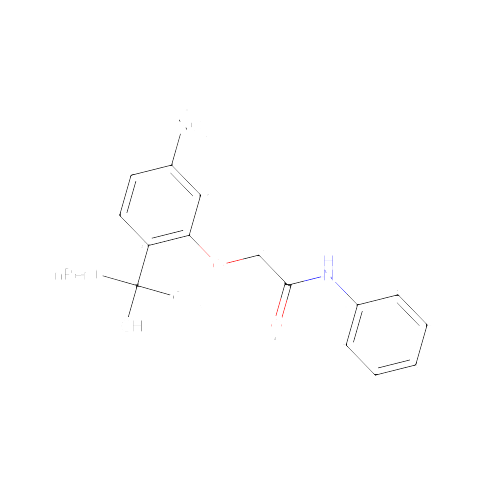 CCCCCC(C)(C)c1ccc([N+](=O)[O-])cc1OCC(=O)Nc1ccccc1